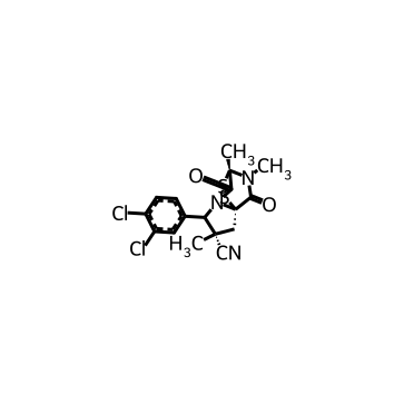 CN1C(=O)[C@@]23C[C@](C)(C#N)C(c4ccc(Cl)c(Cl)c4)N2C(=O)[C@]1(C)SS3